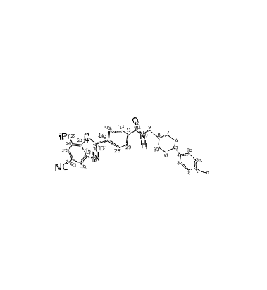 Cc1ccc(C2CCC(CNC(=O)c3ccc(-c4nc5cc(C#N)cc(C(C)C)c5o4)cc3)CC2)cc1